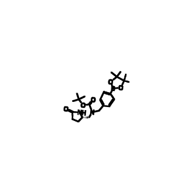 CC(C)(C)OC(=O)N(Cc1ccc(B2OC(C)(C)C(C)(C)O2)cc1)C[C@@H]1CCC(=O)N1